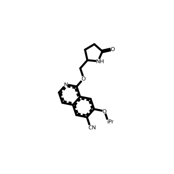 CC(C)Oc1cc2c(OCC3CCC(=O)N3)nccc2cc1C#N